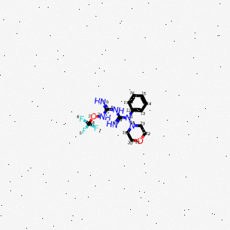 N=C(NOC(F)(F)F)NC(=N)N(c1ccccc1)N1CCOCC1